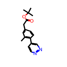 Cc1cc(CC(=O)OC(C)(C)C)ccc1-c1ccnnc1